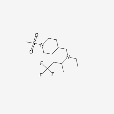 CCN(CC1CCN(S(C)(=O)=O)CC1)C(C)CC(F)(F)F